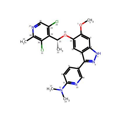 COc1cc2[nH]nc(-c3ccc(N(C)C)nc3)c2cc1O[C@H](C)c1c(Cl)cnc(C)c1Cl